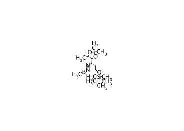 C=BN=N[C@@H](CCO[Si](C)(C)C(C)(C)C)[C@@H]1OC(C)(C)OC1C